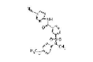 COc1ccc(N(C)S(=O)(=O)c2cccc(C(=O)Nc3ccc(C#N)cn3)c2)cc1